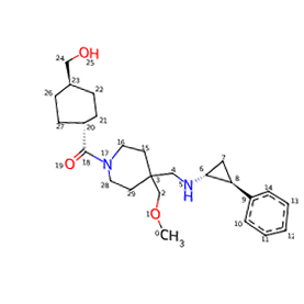 COCC1(CN[C@@H]2C[C@H]2c2ccccc2)CCN(C(=O)[C@H]2CC[C@H](CO)CC2)CC1